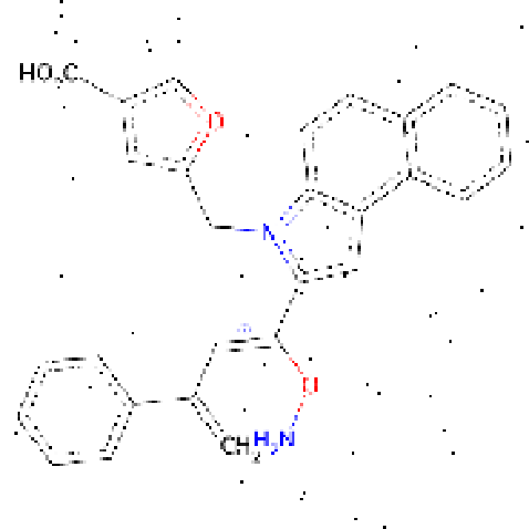 C=C(/C=C(\ON)c1cc2c3ccccc3ccc2n1Cc1cc(C(=O)O)co1)c1ccccc1